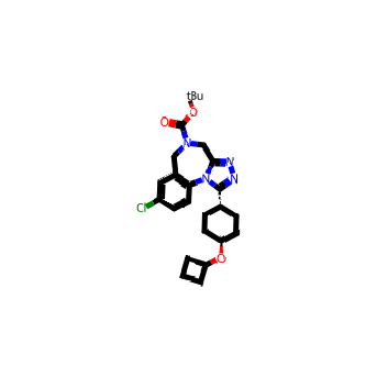 CC(C)(C)OC(=O)N1Cc2cc(Cl)ccc2-n2c(nnc2[C@H]2CC[C@H](OC3CCC3)CC2)C1